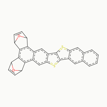 C1=CC2OC1c1c3c(c4cc5c(cc4c12)sc1c2cc4ccccc4cc2sc51)C1C=CC3O1